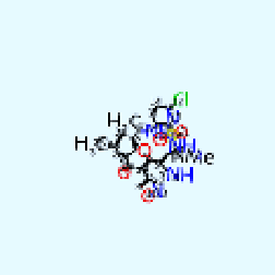 CN/C=C(\C=N)c1oc2c([C@@H](C)Nc3ccc(Cl)nc3S(N)(=O)=O)cc(C)cc2c(=O)c1-c1cnoc1